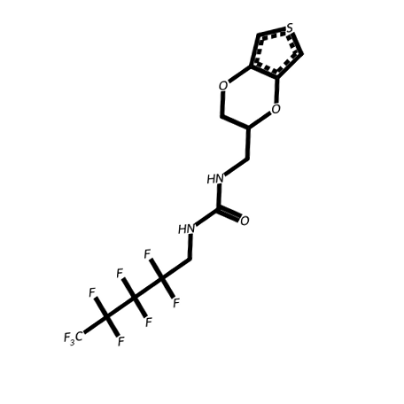 O=C(NCC1COc2cscc2O1)NCC(F)(F)C(F)(F)C(F)(F)C(F)(F)F